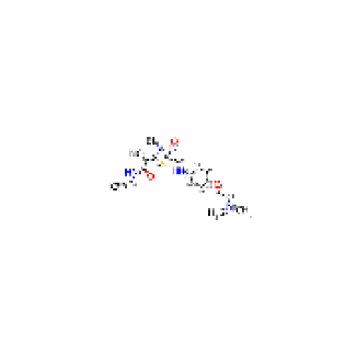 C#CCNC(=O)C(C#N)=c1sc(=CNc2ccc(OCCN(C)C)cc2)c(=O)n1CC